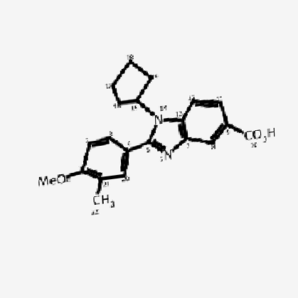 COc1ccc(-c2nc3cc(C(=O)O)ccc3n2C2CCCC2)cc1C